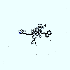 CCCCCCCC/C=C\CCCCCCCC(=O)N[C@@H](CCCCN)C(=O)N(C(=O)CCc1cccc2ccccc12)[C@@](N)(CC(C)C)C(=O)N[C@H](C(=O)O)C(C)C